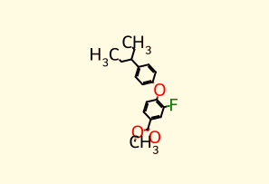 CCC(CC)c1ccc(Oc2ccc(C(=O)OC)cc2F)cc1